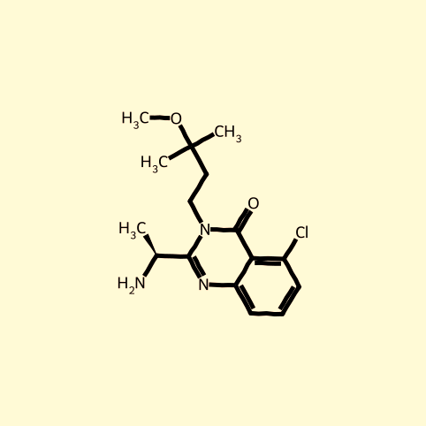 COC(C)(C)CCn1c([C@H](C)N)nc2cccc(Cl)c2c1=O